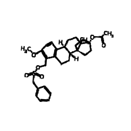 COc1ccc2c(c1COS(=O)(=O)Cc1ccccc1)CC[C@@H]1[C@@H]2CC[C@]2(C)[C@]3(OC(C)=O)CC[C@]12CC3